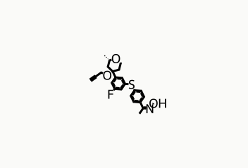 C#CCO[C@@]1(c2cc(F)cc(Sc3ccc(/C(C)=N\O)cc3)c2)CCO[C@@H](C)C1